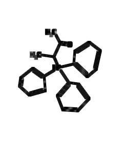 CC(=O)C(C)[PH](c1ccccc1)(c1ccccc1)c1ccccc1